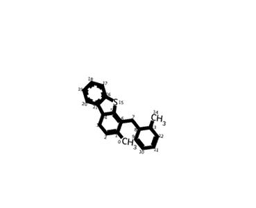 CC1=CCC2C(=C1CC1C=CC=CC1C)Sc1ccccc12